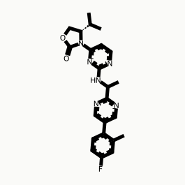 Cc1cc(F)ccc1-c1cnc(C(C)Nc2nccc(N3C(=O)OC[C@@H]3C(C)C)n2)nc1